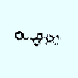 OC[C@H]1O[C@@H](n2cnc3c(OCc4ccccc4)ncnc32)[C@H](O)[C@@H]1O